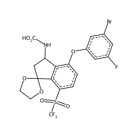 O=C(O)NC1CC2(OCCO2)c2c(S(=O)(=O)C(F)(F)F)ccc(Oc3cc(F)cc(Br)c3)c21